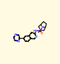 CN1CC2CCC(C1)N2C(=O)Nc1cc2cc(-c3cnccn3)ccc2cn1